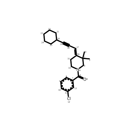 CC1(C)CN(C(=O)c2cccc(Cl)c2)CC/C1=C\C#CC1CCCCC1